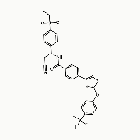 CCS(=O)(=O)c1ccc(C(CC#N)NC(=O)c2ccc(-c3csc(Oc4ccc(C(F)(F)F)cc4)n3)cc2)cc1